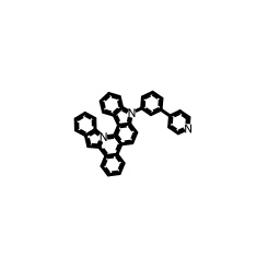 c1cc(-c2ccncc2)cc(-n2c3ccccc3c3c2ccc2c4ccccc4c4cc5ccccc5n4c23)c1